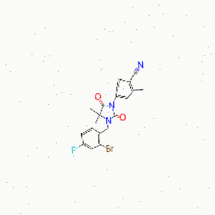 Cc1cc(N2C(=O)N(Cc3ccc(F)cc3Br)C(C)(C)C2=O)ccc1C#N